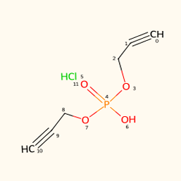 C#CCOP(=O)(O)OCC#C.Cl